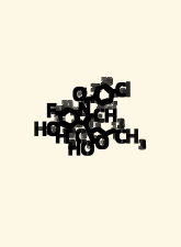 CCCC[C@@](C)(C(=O)O)c1c(C)n(C(=O)c2ccc(Cl)cc2)c2cc(F)c(O)c(F)c12